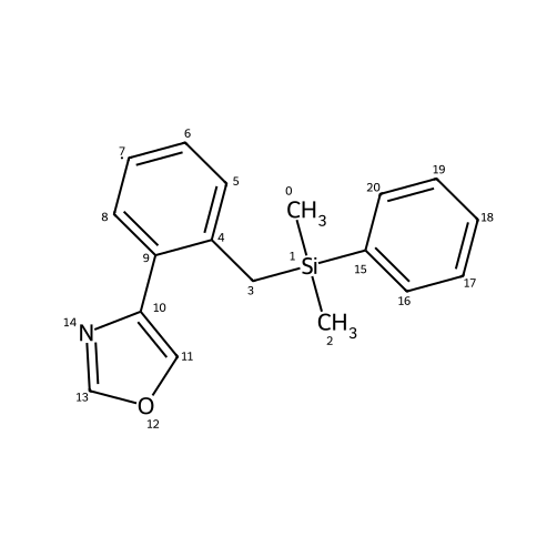 C[Si](C)(Cc1cc[c]cc1-c1cocn1)c1ccccc1